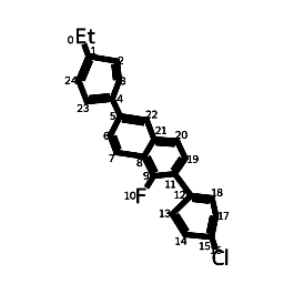 CCc1ccc(-c2ccc3c(F)c(-c4ccc(Cl)cc4)ccc3c2)cc1